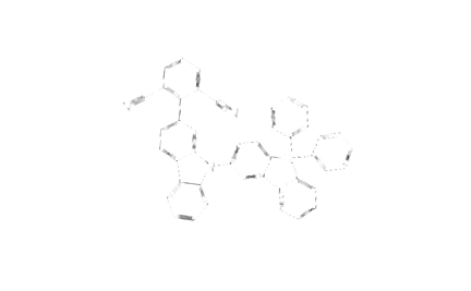 N#Cc1cccc(C#N)c1-c1ccc2c3ccccc3n(-c3ccc4c(c3)-c3ccccc3[Si]4(c3ccccc3)c3ccccc3)c2c1